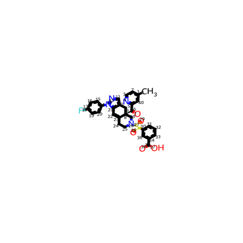 Cc1ccnc(C(=O)[C@]23Cc4cnn(-c5ccc(F)cc5)c4C=C2CCN(S(=O)(=O)c2cccc(C(=O)O)c2)C3)c1